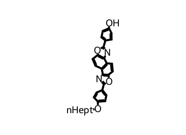 CCCCCCCOc1ccc(-c2nc3c(ccc4c3ccc3oc(-c5ccc(O)cc5)nc34)o2)cc1